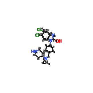 CN(Cc1ccc(-n2c(O)nc3cc(Cl)c(Cl)cc32)cc1)C1CCNCC1